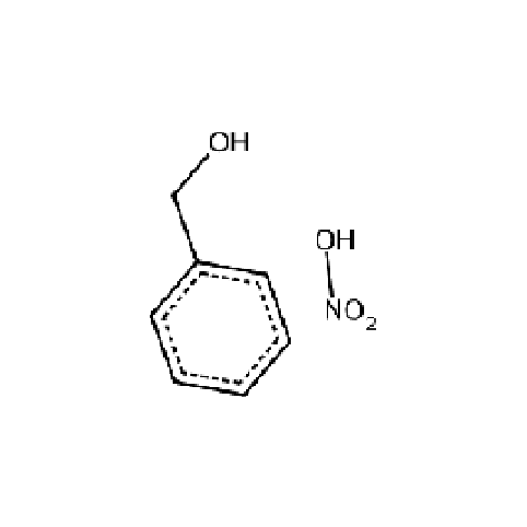 O=[N+]([O-])O.OCc1ccccc1